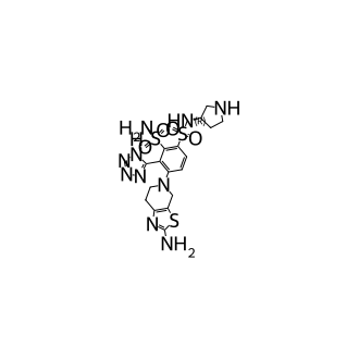 Nc1nc2c(s1)CN(c1ccc(S(=O)(=O)N[C@@H]3CCNC3)c(S(N)(=O)=O)c1-c1nnn[nH]1)CC2